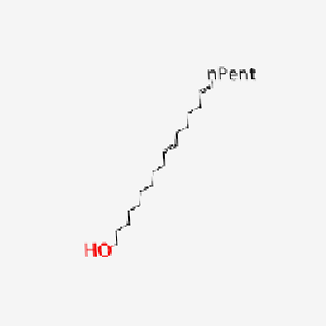 CCCCCC=CCCCCC=CCCCCCCCCCO